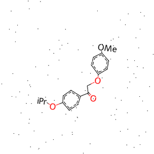 COc1ccc(OCC(=O)c2ccc(OC(C)C)cc2)cc1